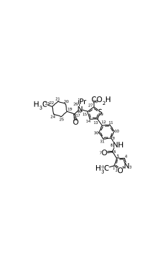 Cc1oncc1C(=O)Nc1ccc(-c2cc(N(C(=O)C3CCC(C)CC3)C(C)C)c(C(=O)O)s2)cc1